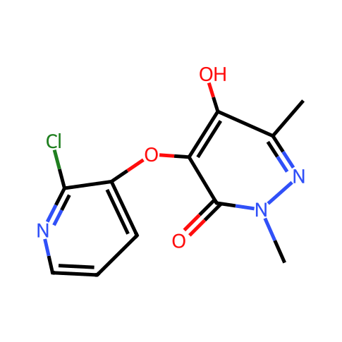 Cc1nn(C)c(=O)c(Oc2cccnc2Cl)c1O